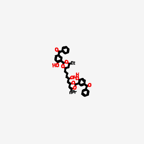 CCCC1CC(CC(O)CCCC2CC(CC)OC(c3cc(C(=O)c4ccccc4)ccc3O)O2)OC(c2cc(C(=O)c3ccccc3)ccc2O)O1